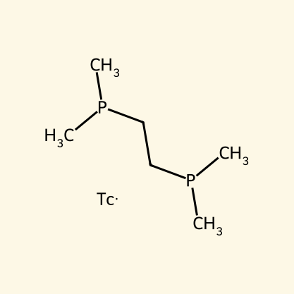 CP(C)CCP(C)C.[Tc]